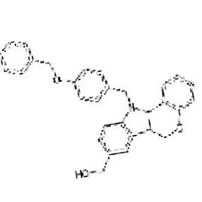 OCc1ccc2c(c1)C1COc3ccccc3C1N2Cc1ccc(OCc2ccccc2)cc1